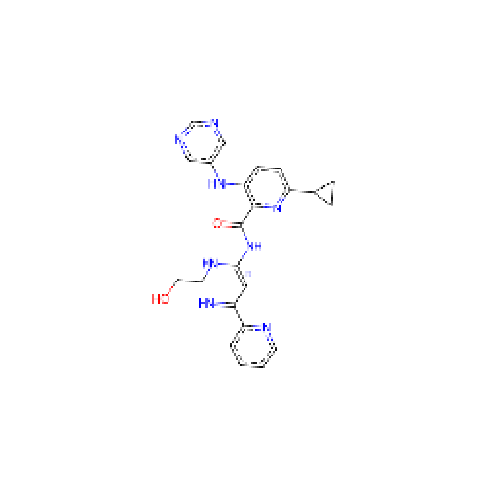 N=C(/C=C(\NCCO)NC(=O)c1nc(C2CC2)ccc1Nc1cncnc1)c1ccccn1